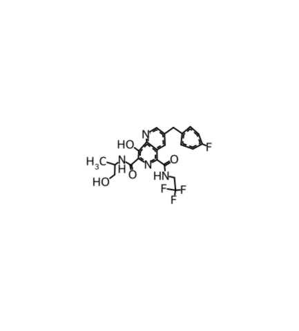 CC(CO)NC(=O)c1nc(C(=O)NCC(F)(F)F)c2cc(Cc3ccc(F)cc3)cnc2c1O